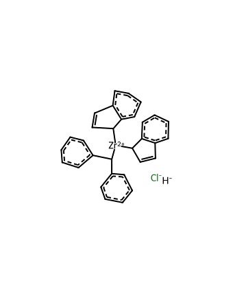 C1=C[CH]([Zr+2]([CH]2C=Cc3ccccc32)[CH](c2ccccc2)c2ccccc2)c2ccccc21.[Cl-].[H-]